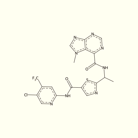 CC(NC(=O)c1ncnc2ncn(C)c12)c1ncc(C(=O)Nc2cc(C(F)(F)F)c(Cl)cn2)s1